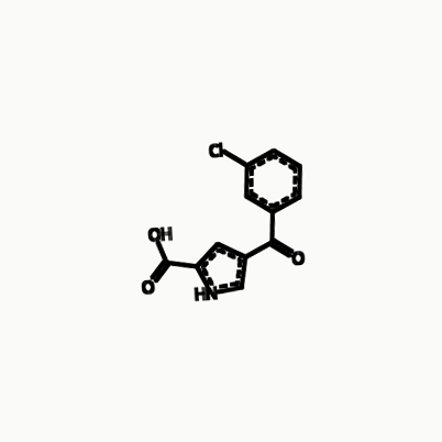 O=C(c1cccc(Cl)c1)c1c[nH]c(C(=O)O)c1